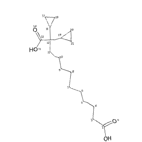 O=C(O)CCCCCCCCCC(C(=O)O)(C1CC1)C1CC1